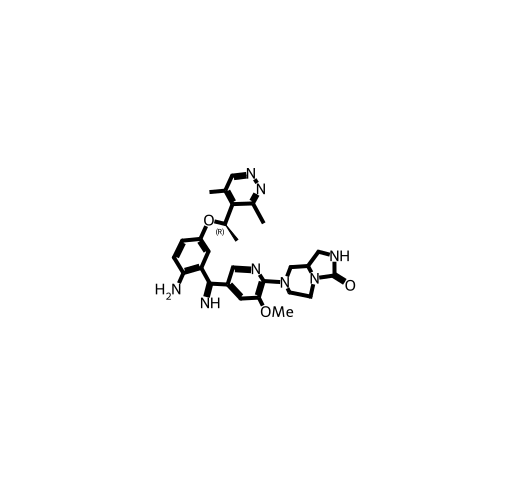 COc1cc(C(=N)c2cc(O[C@H](C)c3c(C)cnnc3C)ccc2N)cnc1N1CCN2C(=O)NCC2C1